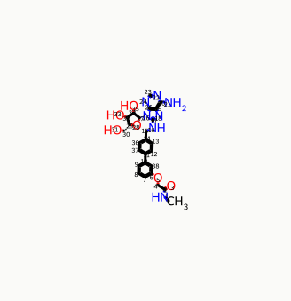 CNC(=O)COc1cccc(-c2ccc(CNc3nc4c(N)ncnc4n3[C@@H]3O[C@H](CO)C(O)C3O)cc2)c1